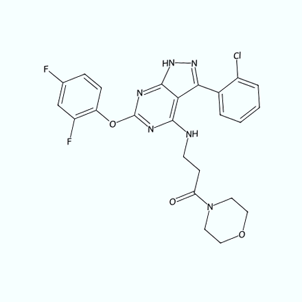 O=C(CCNc1nc(Oc2ccc(F)cc2F)nc2[nH]nc(-c3ccccc3Cl)c12)N1CCOCC1